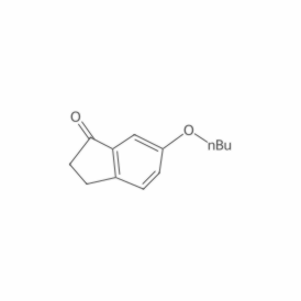 CCCCOc1ccc2c(c1)C(=O)CC2